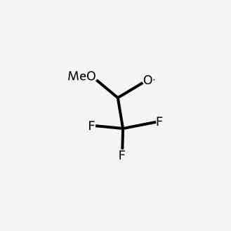 COC([O])C(F)(F)F